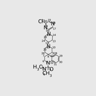 CN(C)C(=O)N1CCC2(CCN(C3CCN(c4cncc(Cl)n4)CC3)CC2)c2ccccc21